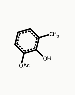 CC(=O)Oc1cccc(C)c1O